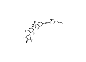 CCCCC1=CCC(C#Cc2ccc(C(F)(F)Oc3cc(F)c(-c4cc(F)c(F)c(F)c4)c(F)c3)c(F)c2)N=C1